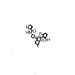 Cc1ccc2c(N3CC[C@@H](NC(=O)c4cccnc4)C3)nc(-c3c(O)cccc3F)nc2c1